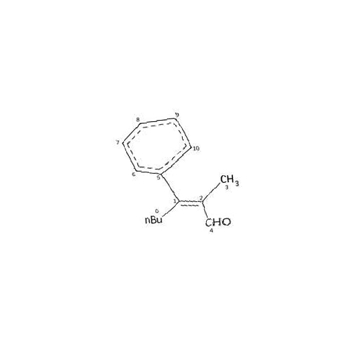 CCCCC(=C(C)C=O)c1ccccc1